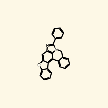 c1ccc(-c2nc3cc4oc5ccccc5c4c4c3n2Cc2ccccc2-4)cc1